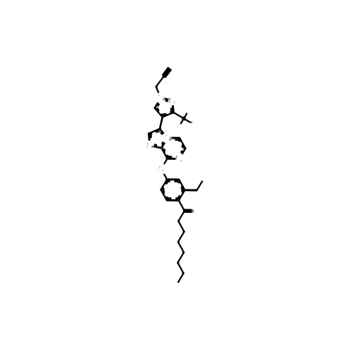 C#CCn1cc(-c2cnc3c(Nc4ccc(C(=O)CCCCCCC)c(CC)c4)nccn23)c(C(F)(F)F)n1